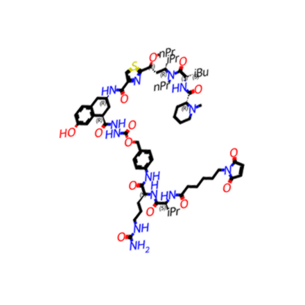 CCCO[C@H](C[C@H](C(C)C)N(CCC)C(=O)[C@@H](NC(=O)[C@H]1CCCCN1C)[C@@H](C)CC)c1nc(C(=O)N[C@H]2Cc3ccc(O)cc3[C@H](C(=O)NNC(=O)OCc3ccc(NC(=O)[C@H](CCCNC(N)=O)NC(=O)[C@@H](NC(=O)CCCCCN4C(=O)C=CC4=O)C(C)C)cc3)C2)cs1